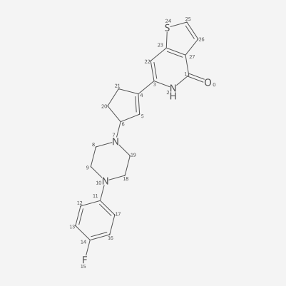 O=c1[nH]c(C2=CC(N3CCN(c4ccc(F)cc4)CC3)CC2)cc2sccc12